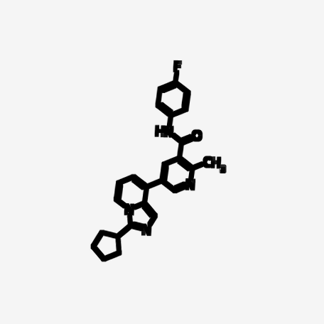 Cc1ncc(-c2cccn3c(C4CCCC4)ncc23)cc1C(=O)Nc1ccc(F)cc1